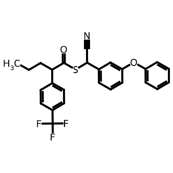 CCCC(C(=O)SC(C#N)c1cccc(Oc2ccccc2)c1)c1ccc(C(F)(F)F)cc1